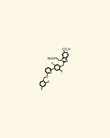 COCCn1c(Cc2cc(F)c(-c3cccc(OCc4ccc(C)cc4F)n3)cc2F)nc2ccc(C(=O)O)cc21